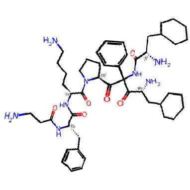 NCCCC[C@H](NC(=O)[C@H](Cc1ccccc1)NC(=O)CCN)C(=O)N1CCC[C@H]1C(=O)C(NC(=O)[C@@H](N)CC1CCCCC1)(C(=O)[C@H](N)CC1CCCCC1)c1ccccc1